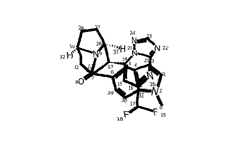 Cn1ccc2cc(C(=O)N3[C@H]4CC[C@H](c5cc(C(F)F)nc6ncnn56)[C@@H]3CC4)ccc21